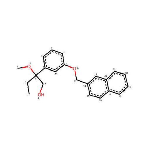 CCC(CO)(OC)c1cccc(OCc2ccc3ccccc3c2)c1